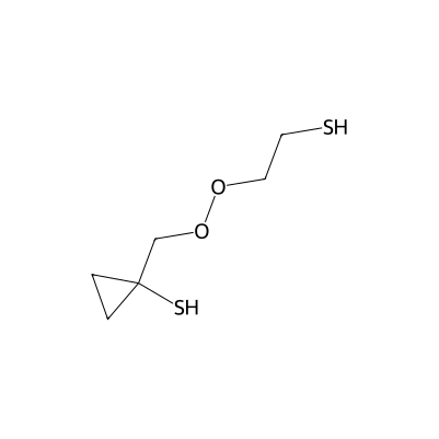 SCCOOCC1(S)CC1